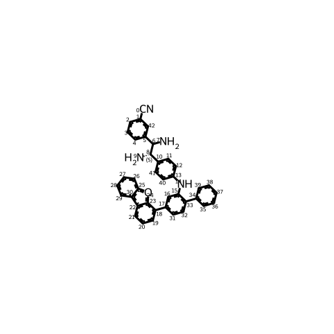 N#Cc1cccc(C(N)[C@@H](N)c2ccc(Nc3cc(-c4cccc5c4oc4ccccc45)ccc3-c3ccccc3)cc2)c1